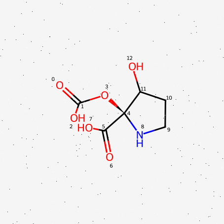 O=C(O)O[C@]1(C(=O)O)NCCC1O